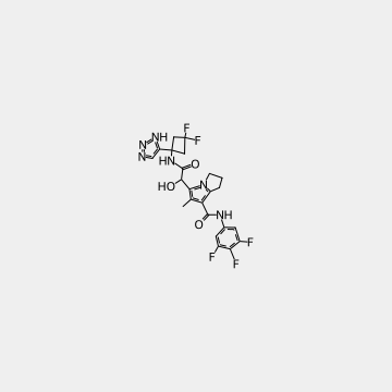 Cc1c(C(=O)Nc2cc(F)c(F)c(F)c2)c2n(c1C(O)C(=O)NC1(c3cnn[nH]3)CC(F)(F)C1)CCC2